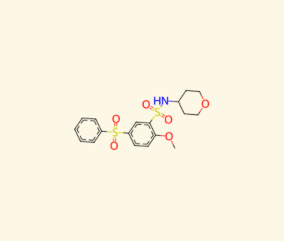 COc1ccc(S(=O)(=O)c2ccccc2)cc1S(=O)(=O)NC1CCOCC1